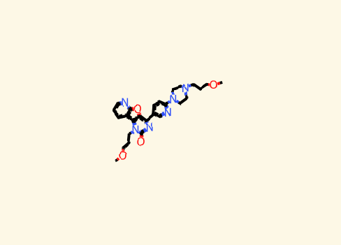 COCCCN1CCN(c2ccc(-c3nc(=O)n(CCCOC)c4c3oc3ncccc34)cn2)CC1